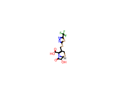 O=C(O)C1=C(CSc2nnc(C(F)(F)F)s2)CS[C@H]2[C@H](O)C(=O)N12